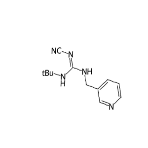 CC(C)(C)N/C(=N\C#N)NCc1cccnc1